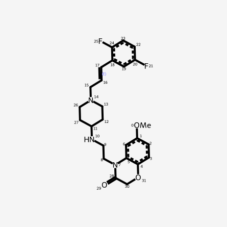 COc1ccc2c(c1)N(CCNC1CCN(C/C=C/c3cc(F)ccc3F)CC1)C(=O)CO2